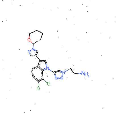 NCCn1cc(-n2cc(-c3cnn(C4CCCCO4)c3)c3ccc(Cl)c(Cl)c32)nn1